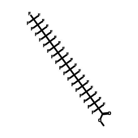 COC(=O)C(F)(F)C(F)(F)C(F)(F)C(F)(F)C(F)(F)C(F)(F)C(F)(F)C(F)(F)C(F)(F)C(F)(F)C(F)(F)C(F)(F)C(F)(F)C(F)(F)C(F)(F)C(F)(F)C(F)(F)F